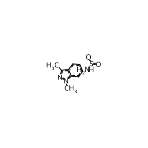 Cc1nn(C)c2ccccc12.N[SH](=O)=O